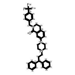 O=C1c2cc(N3CCN(CCC(c4ccccc4)c4ccccc4)CC3)ccc2CCN1Cc1ccc(C(F)(F)F)cc1